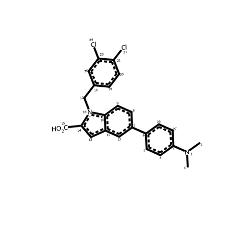 CN(C)c1ccc(-c2ccc3c(c2)cc(C(=O)O)n3Cc2ccc(Cl)c(Cl)c2)cc1